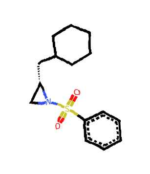 O=S(=O)(c1ccccc1)N1C[C@@H]1CC1CCCCC1